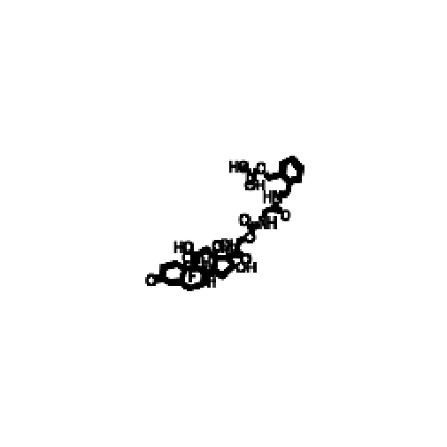 C[C@]12C=CC(=O)C=C1CC[C@H]1[C@@H]3C[C@@H](O)[C@](O)(C(=O)COC(=O)NCC(=O)NCc4ccccc4CON(O)O)[C@@]3(C)C[C@H](O)[C@@]12F